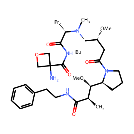 CC[C@H](C)[C@@H]([C@@H](CC(=O)N1CCC[C@H]1[C@H](OC)[C@@H](C)C(=O)NCCc1ccccc1)OC)N(C)[C@H](C(=O)NC(=O)C1(N)COC1)C(C)C